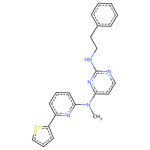 CN(c1cccc(-c2cccs2)n1)c1ccnc(NCCc2ccccc2)n1